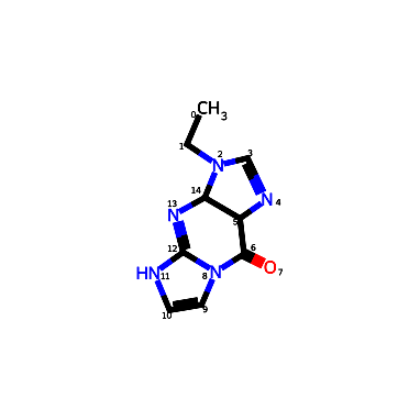 CCN1C=NC2C(=O)N3C=CNC3=NC21